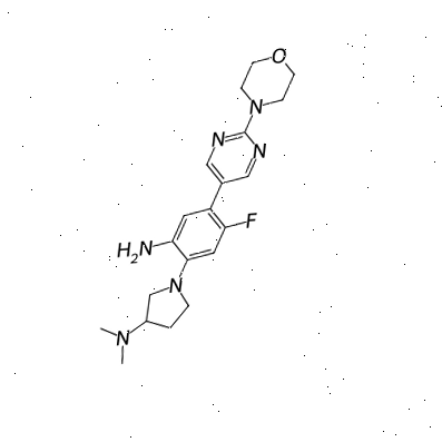 CN(C)C1CCN(c2cc(F)c(-c3cnc(N4CCOCC4)nc3)cc2N)C1